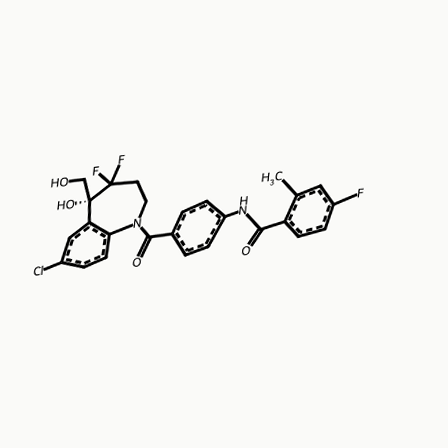 Cc1cc(F)ccc1C(=O)Nc1ccc(C(=O)N2CCC(F)(F)[C@](O)(CO)c3cc(Cl)ccc32)cc1